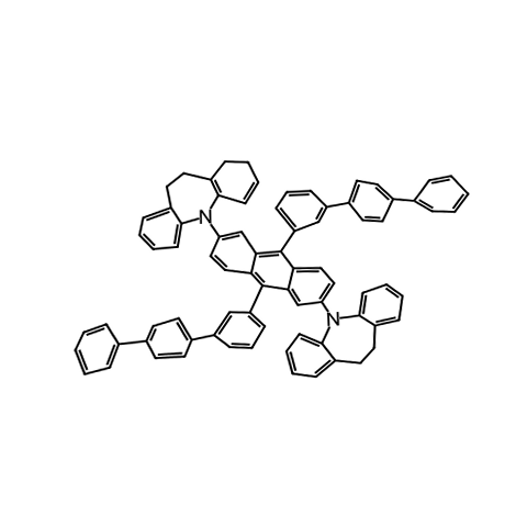 C1=CC2=C(CC1)CCc1ccccc1N2c1ccc2c(-c3cccc(-c4ccc(-c5ccccc5)cc4)c3)c3cc(N4c5ccccc5CCc5ccccc54)ccc3c(-c3cccc(-c4ccc(-c5ccccc5)cc4)c3)c2c1